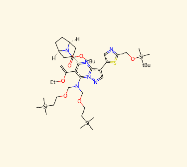 C=C(OCC)c1c([C@@H]2C[C@H]3CC[C@@H](C2)N3C(=O)OC(C)(C)C)nc2c(-c3cnc(CO[Si](C)(C)C(C)(C)C)s3)cnn2c1N(COCC[Si](C)(C)C)COCC[Si](C)(C)C